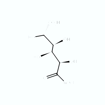 CCCCCCCCC(=O)[C@H](O)[C@@H](O)[C@H](O)[C@H](O)C(=O)O